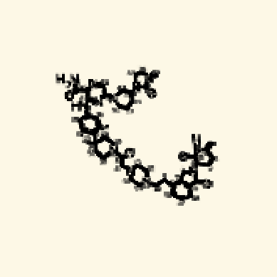 C=C1CCC(N2Cc3c(CCN4CCN(CC(=O)N5CCC(C)(c6ccc(Nc7nc(N8CCC[C@@H](N9CCN(C)C9=O)C8)cnc7C(N)=O)cc6)CC5)CC4)cccc3C2=O)C(=O)N1